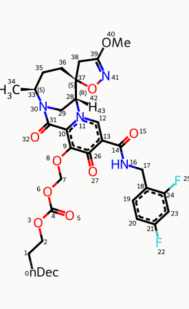 CCCCCCCCCCCCOC(=O)OCOc1c2n(cc(C(=O)NCc3ccc(F)cc3F)c1=O)[C@@H]1CN(C2=O)[C@@H](C)CC[C@]12CC(OC)=NO2